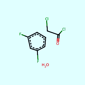 Fc1cccc(F)c1.O.O=C(Cl)CCl